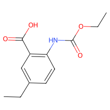 CCOC(=O)Nc1ccc(CC)cc1C(=O)O